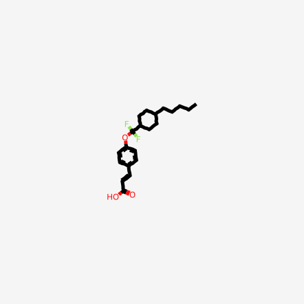 CCCCCC1CCC(C(F)(F)Oc2ccc(/C=C/C(=O)O)cc2)CC1